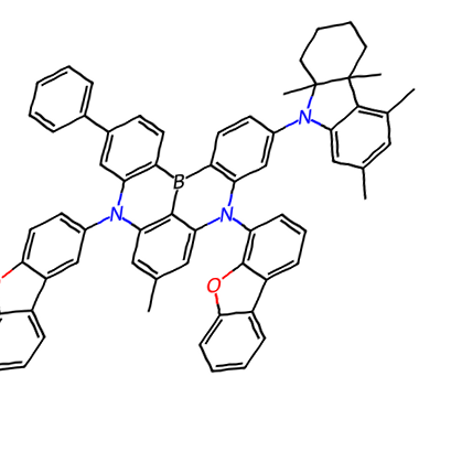 Cc1cc2c3c(c1)N(c1cccc4c1oc1ccccc14)c1cc(N4c5cc(C)cc(C)c5C5(C)CCCCC45C)ccc1B3c1ccc(-c3ccccc3)cc1N2c1ccc2oc3ccccc3c2c1